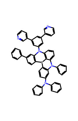 c1ccc(-c2ccc3c(c2)N(c2cc(-c4cccnc4)cc(-c4cccnc4)c2)c2cccc4c2B3c2ccc(N(c3ccccc3)c3ccccc3)cc2N4c2ccccc2)cc1